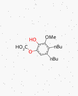 CCCCc1cc(OC(=O)O)c(O)c(OC)c1CCCC